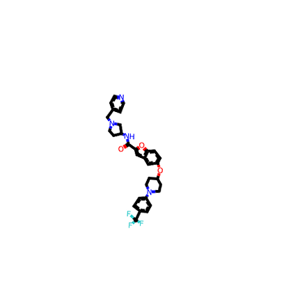 O=C(NC1CCN(Cc2ccncc2)C1)c1cc2cc(OC3CCN(c4ccc(C(F)(F)F)cc4)CC3)ccc2o1